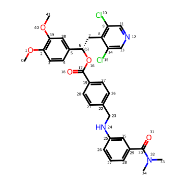 COc1ccc([C@H](Cc2c(Cl)cncc2Cl)OC(=O)c2ccc(CNc3cccc(C(=O)N(C)C)c3)cc2)cc1OC